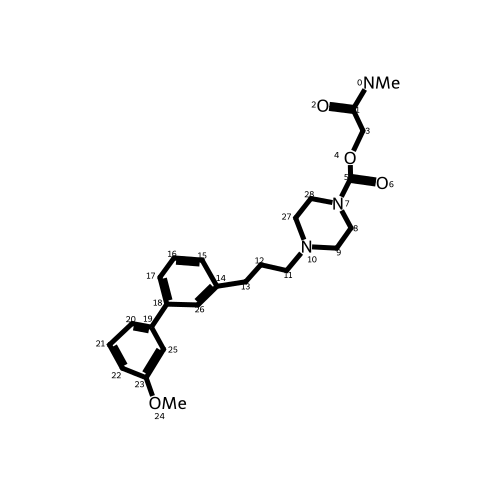 CNC(=O)COC(=O)N1CCN(CCCc2cccc(-c3cccc(OC)c3)c2)CC1